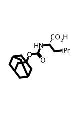 CC(C)C[C@H](NC(=O)OC12CC3CC(CC(C3)C1)C2)C(=O)O